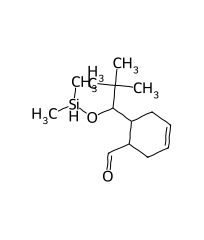 C[SiH](C)OC(C1CC=CCC1C=O)C(C)(C)C